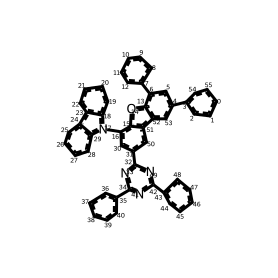 c1ccc(-c2cc(-c3ccccc3)c3oc4c(-n5c6ccccc6c6ccccc65)cc(-c5nc(-c6ccccc6)nc(-c6ccccc6)n5)cc4c3c2)cc1